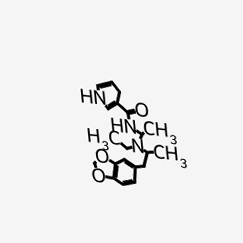 CCN(C(C)Cc1ccc2c(c1)OCO2)C(C)NC(=O)C1=CNC=CC1